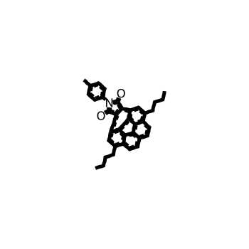 CCCCc1cc2c3c(=O)n(-c4ccc(C)cc4)c(=O)c3c3cc(CCCC)c4ccc5ccc1c1c5c4c3c21